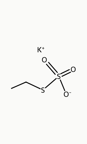 CCSS(=O)(=O)[O-].[K+]